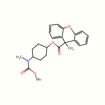 CN(C(=O)OC(C)(C)C)C1CCC(OC(=O)C2(C)c3ccccc3Oc3ccccc32)CC1